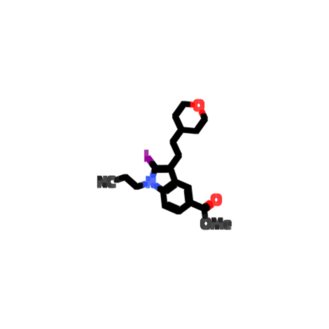 COC(=O)c1ccc2c(c1)c(CCC1CCOCC1)c(I)n2CCC#N